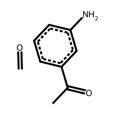 C=O.CC(=O)c1cccc(N)c1